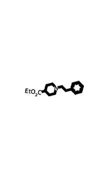 CCOC(=O)C1CCN(CCc2[c]cccc2)CC1